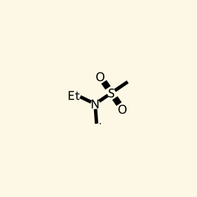 [CH2]N(CC)S(C)(=O)=O